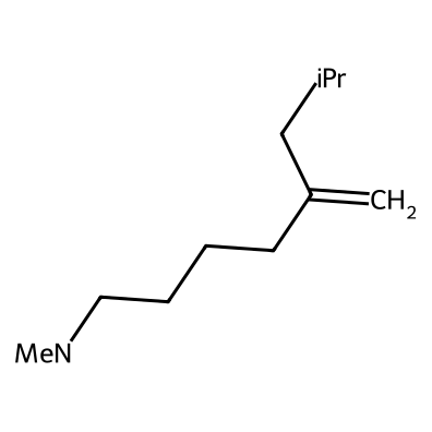 C=C(CCCCNC)CC(C)C